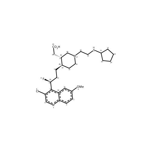 COc1ccc2ncc(Cl)c([C@@H](F)CC[C@@H]3CCN(CCSC4CCCC4)C[C@H]3CC(=O)O)c2c1